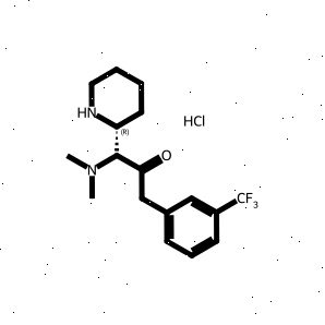 CN(C)C(C(=O)Cc1cccc(C(F)(F)F)c1)[C@H]1CCCCN1.Cl